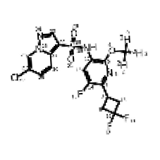 [2H]C([2H])([2H])Oc1nc(C2CC(F)(F)C2)c(F)cc1NS(=O)(=O)c1cnn2cc(Cl)ccc12